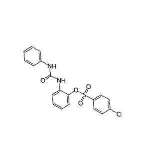 O=C(Nc1ccccc1)Nc1ccccc1OS(=O)(=O)c1ccc(Cl)cc1